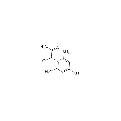 Cc1cc(C)c(C(Cl)C(N)=O)c(C)c1